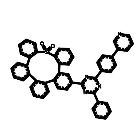 O=S1(=O)c2ccccc2-c2ccccc2-c2ccccc2-c2ccc(-c3nc(-c4ccccc4)nc(-c4ccc(-c5cccnc5)cc4)n3)cc2-c2ccccc21